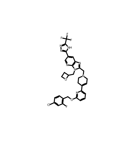 Fc1cc(Cl)ccc1COc1cccc(C2=CCN(Cc3nc4cc(-c5nnc(C(F)(F)F)[nH]5)cnc4n3CC3CCO3)CC2)n1